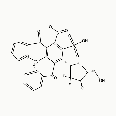 O=C(c1ccccc1)c1c([C@@H]2O[C@H](CO)[C@@H](O)C2(F)F)c(S(=O)(=O)O)c([N+](=O)[O-])c(C(=O)c2ccccc2)c1[N+](=O)[O-]